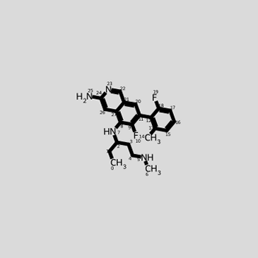 CCC(CCNC)Nc1c(F)c(-c2c(C)cccc2F)cc2cnc(N)cc12